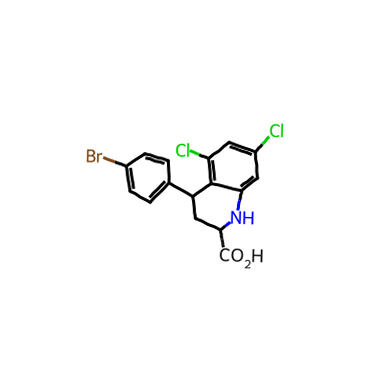 O=C(O)C1CC(c2ccc(Br)cc2)c2c(Cl)cc(Cl)cc2N1